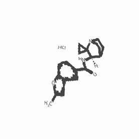 Cc1cc2cc(C(=O)N[C@@H]3C4CCN(CC4)C34CC4)ccc2o1.Cl